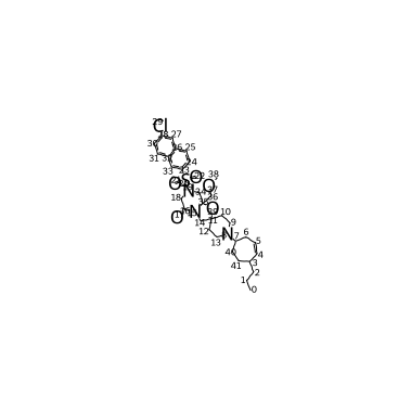 CCCC1C=CCC(N2CCC3(CC2)CN2C(=O)CN(S(=O)(=O)c4ccc5cc(Cl)ccc5c4)CC2(COC)O3)CC1